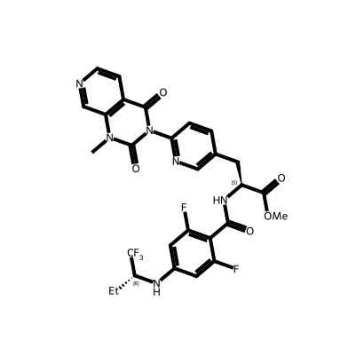 CC[C@@H](Nc1cc(F)c(C(=O)N[C@@H](Cc2ccc(-n3c(=O)c4ccncc4n(C)c3=O)nc2)C(=O)OC)c(F)c1)C(F)(F)F